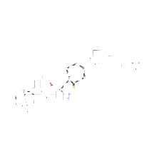 COCC1CCN(c2ccc3c(C(=O)N[C@@H]4CN5CCC4CC5)nsc3c2)C1